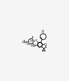 CNC1CC(C)NC(Nc2cc3c(c(C4=CCNCCC4)c2F)OCC32CC2)N1